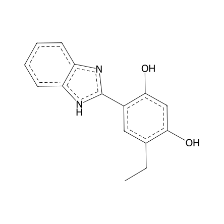 CCc1cc(-c2nc3ccccc3[nH]2)c(O)cc1O